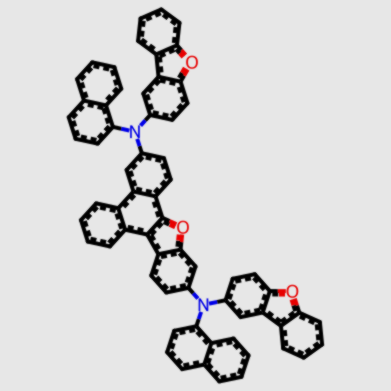 c1ccc2c(N(c3ccc4c(c3)oc3c5ccc(N(c6ccc7oc8ccccc8c7c6)c6cccc7ccccc67)cc5c5ccccc5c43)c3ccc4oc5ccccc5c4c3)cccc2c1